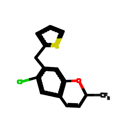 FC(F)(F)C1C=Cc2cc(Cl)c(Cc3cccs3)cc2O1